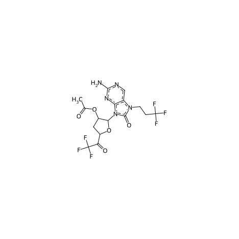 CC(=O)OC1CC(C(=O)C(F)(F)F)OC1n1c(=O)n(CCC(F)(F)F)c2cnc(N)nc21